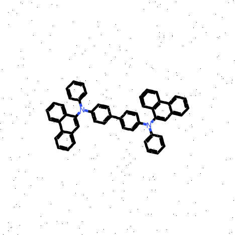 C1=C=Cc2c(c(N(c3ccccc3)c3ccc(-c4ccc(N(c5ccccc5)c5cc6ccccc6c6ccccc56)cc4)cc3)cc3ccccc23)C=1